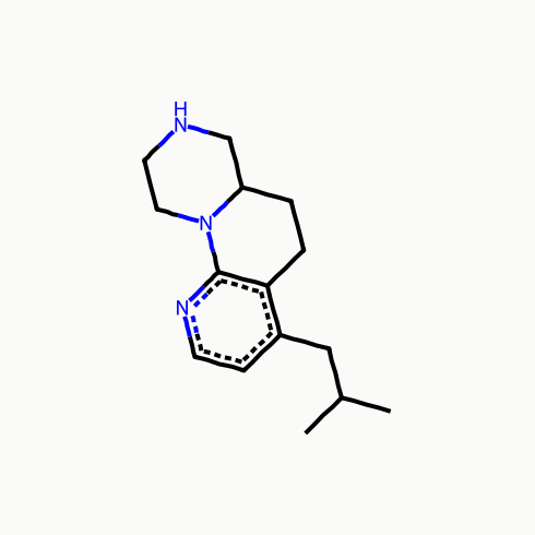 CC(C)Cc1ccnc2c1CCC1CNCCN21